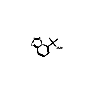 COC(C)(C)c1cccc2nnnn12